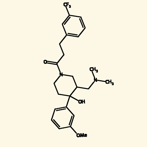 COc1cccc(C2(O)CCN(C(=O)CCc3cccc(C(F)(F)F)c3)CC2CN(C)C)c1